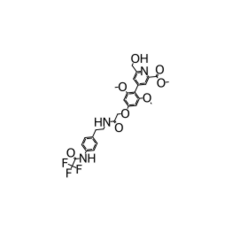 COC(=O)c1cc(-c2c(OC)cc(OCC(=O)NCCc3ccc(NC(=O)C(F)(F)F)cc3)cc2OC)cc(CO)n1